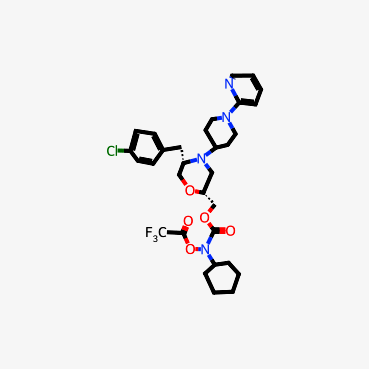 O=C(OC[C@H]1CN(C2CCN(c3ccccn3)CC2)[C@@H](Cc2ccc(Cl)cc2)CO1)N(OC(=O)C(F)(F)F)C1CCCCC1